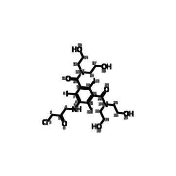 O=C(CCl)CNc1c(I)c(C(=O)N(CCO)CCO)c(I)c(C(=O)N(CCO)CCO)c1I